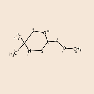 COCC1C[N]C(C)(C)CO1